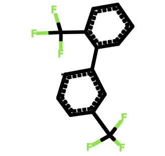 FC(F)(F)c1cc[c]c(-c2ccccc2C(F)(F)F)c1